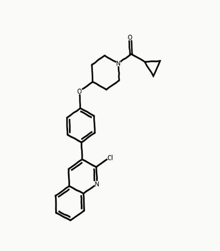 O=C(C1CC1)N1CCC(Oc2ccc(-c3cc4ccccc4nc3Cl)cc2)CC1